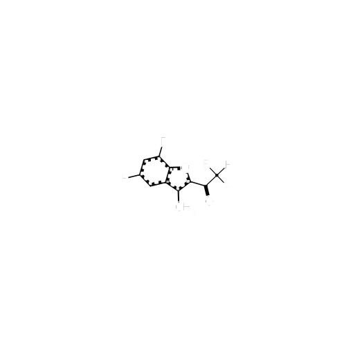 Cc1c(C(=O)C(F)(F)F)oc2c(F)cc(F)cc12